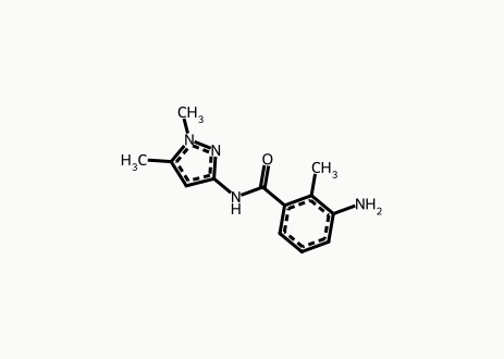 Cc1c(N)cccc1C(=O)Nc1cc(C)n(C)n1